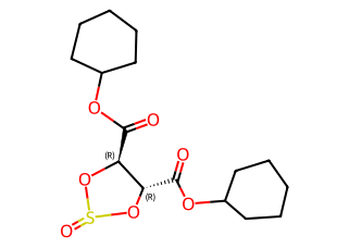 O=C(OC1CCCCC1)[C@@H]1OS(=O)O[C@H]1C(=O)OC1CCCCC1